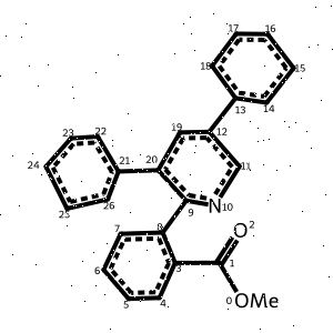 COC(=O)c1ccccc1-c1ncc(-c2ccccc2)[c]c1-c1ccccc1